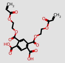 C=CC(=O)OCCOC(=O)c1cc(C(=O)OCCOC(=O)C=C)c(C(=O)O)cc1C(=O)O